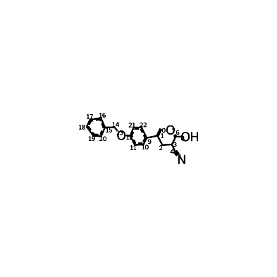 C=C(CC(C#N)C(=O)O)c1ccc(OCc2ccccc2)cc1